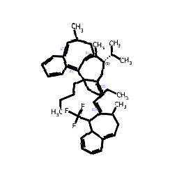 CCCCC1(CCCC)/C(=C\C=C2/C(C)CC=C3C=CC=CC3C2C(F)(F)F)C[C@@H](C(C)C)C(C)C2=C/CC(C)/C=c3/cccc/c3=C/21